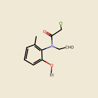 CCOc1cccc(C)c1N(CC=O)C(=O)CCl